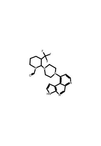 O=CN1CCCC(C(F)(F)F)C1N1CCN(c2ccnc3cnc4[nH]ccc4c23)CC1